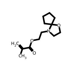 C=C(C)C(=O)OCCN1CCOC12CCCC2